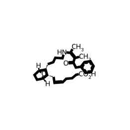 CC(NCCCC[C@@H]1[C@H](C/C=C\CCCC(=O)O)[C@@H]2CC[C@H]1O2)=C(C)C(=O)Cc1ccccc1